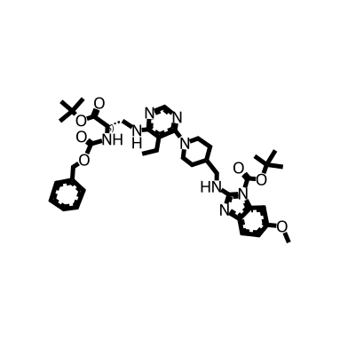 CCc1c(NC[C@H](NC(=O)OCc2ccccc2)C(=O)OC(C)(C)C)ncnc1N1CCC(CNc2nc3ccc(OC)cc3n2C(=O)OC(C)(C)C)CC1